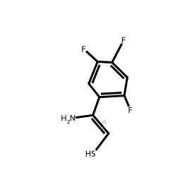 N/C(=C\S)c1cc(F)c(F)cc1F